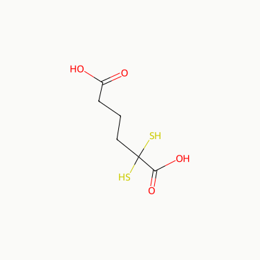 O=C(O)CCCC(S)(S)C(=O)O